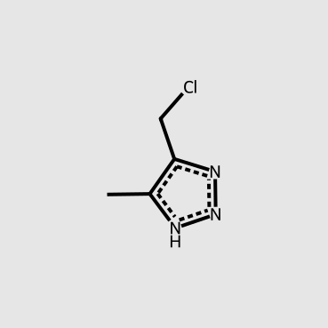 Cc1[nH]nnc1CCl